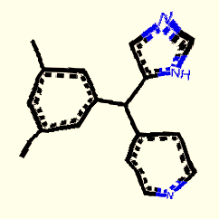 Cc1cc(C)cc(C(c2ccncc2)c2cnc[nH]2)c1